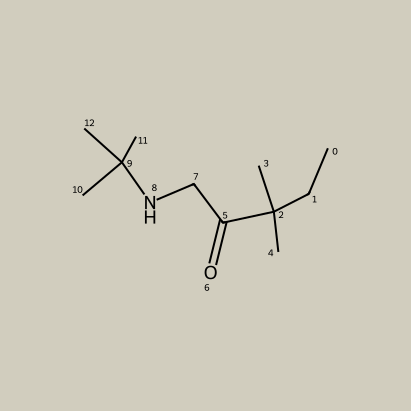 CCC(C)(C)C(=O)CNC(C)(C)C